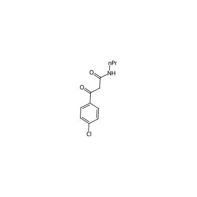 CCCNC(=O)CC(=O)c1ccc(Cl)cc1